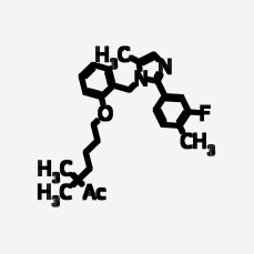 CC(=O)C(C)(C)CCCCOc1ccccc1Cn1c(C)cnc1-c1ccc(C)c(F)c1